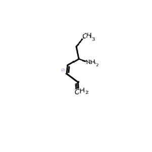 C=C/C=C\C(N)CC